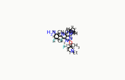 CCN1CC[C@H](CF)[C@](C)(COc2nc(N3C[C@H]4CC[C@@H](C3)N4)c3c(OC)nc(-c4c(C#N)c(N)cc(F)c4C(F)(F)F)c(F)c3n2)C1